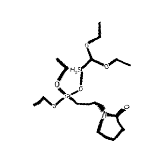 CCOC(OCC)[SiH2]O[Si](CCN1CCCC1=O)(OCC)OCC